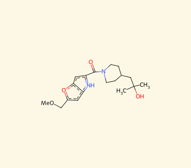 COCc1cc2[nH]c(C(=O)N3CCC(CC(C)(C)O)CC3)cc2o1